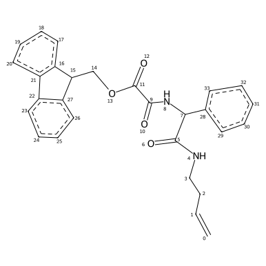 C=CCCNC(=O)C(NC(=O)C(=O)OCC1c2ccccc2-c2ccccc21)c1ccccc1